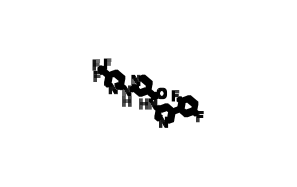 O=C(Nc1cncc(-c2cc(F)ccc2F)c1)c1ccnc(Nc2ccc(C(F)(F)F)cn2)c1